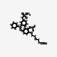 COCCOCCOc1ccc2c(c1OC(F)F)-c1ccc(CS(N)(=O)=O)cc1C(c1ccccc1)O2